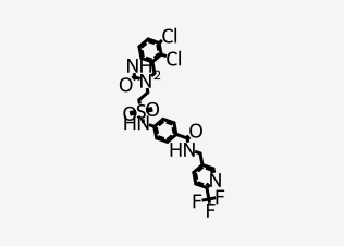 NC(=O)N(CCS(=O)(=O)Nc1ccc(C(=O)NCc2ccc(C(F)(F)F)nc2)cc1)Cc1cccc(Cl)c1Cl